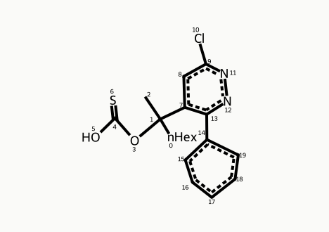 CCCCCCC(C)(OC(O)=S)c1cc(Cl)nnc1-c1ccccc1